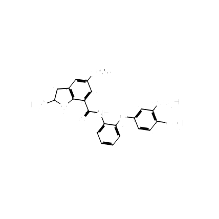 COc1cc2c(c(C(=O)Nc3ccccc3Oc3ccc(C(=O)O)c(C(=O)O)c3)c1)OC(C)C2